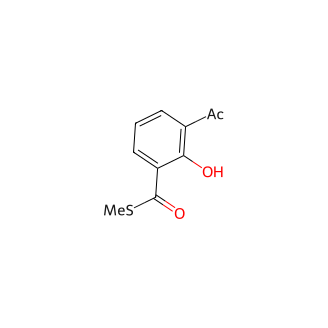 CSC(=O)c1cccc(C(C)=O)c1O